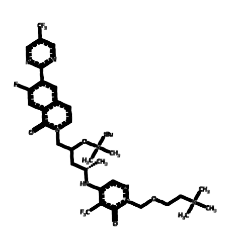 C[C@@H](CC(Cn1ccc2cc(-c3ncc(C(F)(F)F)cn3)c(F)cc2c1=O)O[Si](C)(C)C(C)(C)C)Nc1cnn(COCC[Si](C)(C)C)c(=O)c1C(F)(F)F